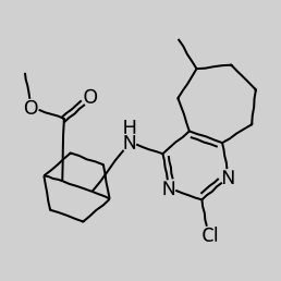 COC(=O)C1C2CCC(CC2)C1Nc1nc(Cl)nc2c1CC(C)CCC2